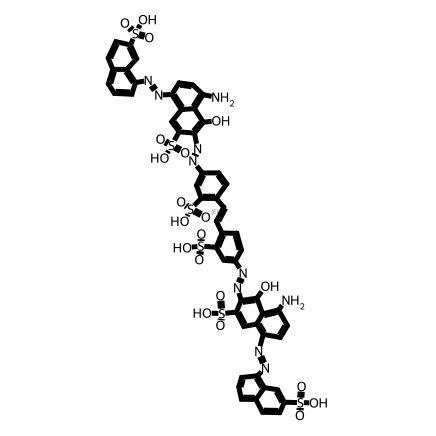 Nc1ccc(N=Nc2cccc3ccc(S(=O)(=O)O)cc23)c2cc(S(=O)(=O)O)c(N=Nc3ccc(/C=C/c4ccc(N=Nc5c(S(=O)(=O)O)cc6c(N=Nc7cccc8ccc(S(=O)(=O)O)cc78)ccc(N)c6c5O)cc4S(=O)(=O)O)c(S(=O)(=O)O)c3)c(O)c12